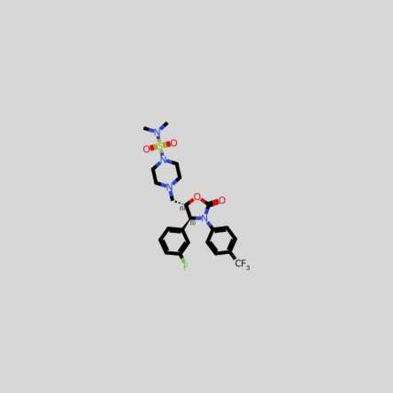 CN(C)S(=O)(=O)N1CCN(C[C@@H]2OC(=O)N(c3ccc(C(F)(F)F)cc3)[C@H]2c2cccc(F)c2)CC1